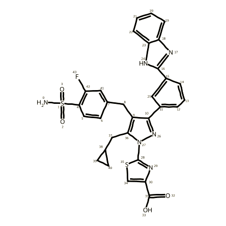 NS(=O)(=O)c1ccc(Cc2c(-c3cccc(-c4nc5ccccc5[nH]4)c3)nn(-c3nc(C(=O)O)cs3)c2CC2CC2)cc1F